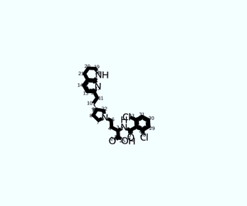 O=C(NC(CCN1CC[C@H](CCc2ccc3c(n2)NCCC3)C1)C(=O)O)c1c(Cl)cccc1Cl